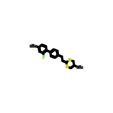 CCCCc1ccc(-c2ccc(CCC3SCC(CCCC)CS3)cc2)c(F)c1